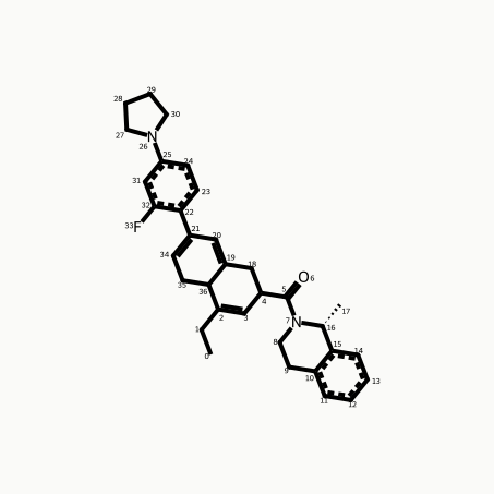 CCC1=CC(C(=O)N2CCc3ccccc3[C@H]2C)CC2=CC(c3ccc(N4CCCC4)cc3F)=CCC12